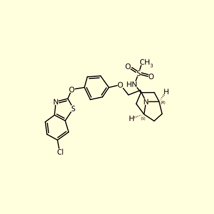 CS(=O)(=O)NC1C[C@H]2CC[C@@H](C1)N2CCOc1ccc(Oc2nc3ccc(Cl)cc3s2)cc1